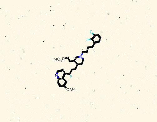 COc1ccc2nccc([C@@H](F)CCC3CCN(CCCCc4cccc(F)c4F)CC3CCC(=O)O)c2c1